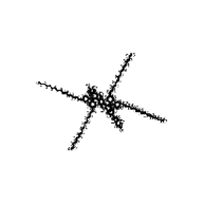 CCCCCCCCCCCCCCCCc1ccc(C2(c3ccc(CCCCCCCCCCCCCCCC)cc3)c3cc(C)sc3-c3sc4cc5c6c(sc5cc4c32)-c2sc(-c3cc4sc(C)cc4s3)cc2C6(c2ccc(CCCCCCCCCCCCCCCC)cc2)c2ccc(CCCCCCCCCCCCCCCC)cc2)cc1